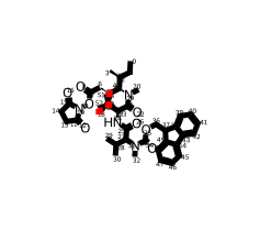 CC[C@H](C)[C@@H]([C@@H](CC(=O)ON1C(=O)CCC1=O)OC)N(C)C(=O)[C@@H](NC(=O)C(C(C)C)N(C)C(=O)OCC1c2ccccc2-c2ccccc21)C(C)C